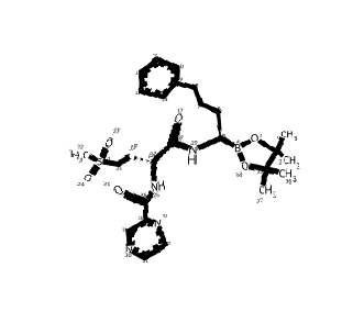 CC1(C)OB([C@H](CCCc2ccccc2)NC(=O)[C@@H](CCS(C)(=O)=O)NC(=O)c2cnccn2)OC1(C)C